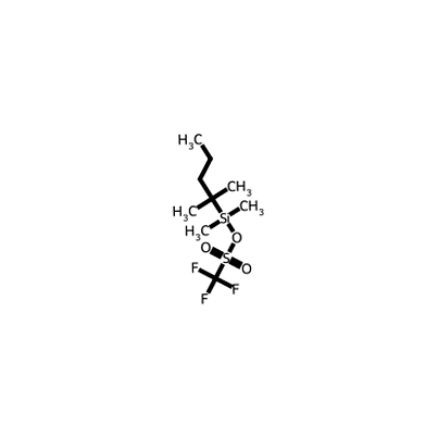 CCCC(C)(C)[Si](C)(C)OS(=O)(=O)C(F)(F)F